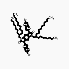 CCCCCCCCCCC(CCCCCCCC)CN1C(=O)C(c2cc3sc(Br)cc3s2)=c2cc3c(cc21)=C(c1cc2sc(Br)cc2s1)C(=O)N3CC(CCCCCCCC)CCCCCCCCCC